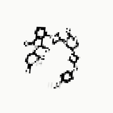 Nc1ccc(OC2CN(C3COC(=O)N(C4CN(c5cccc6c5C(=O)N(C5CCC(=O)NC5=O)C6=O)C4)C3)C2)cc1